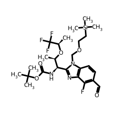 C[C@@H](O[C@H](C)C(F)(F)F)[C@H](NC(=O)OC(C)(C)C)c1nc2c(F)c(C=O)ccc2n1COCC[Si](C)(C)C